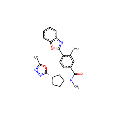 COc1cc(C(=O)N(C)[C@@H]2CC[C@H](c3nnc(C)o3)C2)ccc1-c1nc2ccccc2o1